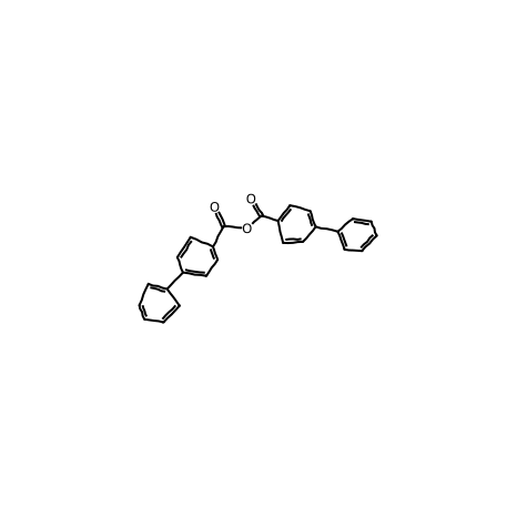 O=C(OC(=O)c1ccc(-c2ccccc2)cc1)c1ccc(-c2ccccc2)cc1